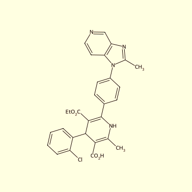 CCOC(=O)C1=C(c2ccc(-n3c(C)nc4cnccc43)cc2)NC(C)=C(C(=O)O)C1c1ccccc1Cl